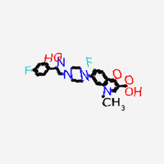 CCn1cc(C(=O)O)c(=O)c2cc(F)c(N3CCN(CC(=NO)c4ccc(F)cc4)CC3)cc21